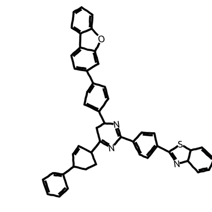 C1=CC2N=C(c3ccc(C4=NC(c5ccc(-c6ccc7c(c6)oc6ccccc67)cc5)CC(C5C=CC(c6ccccc6)CC5)=N4)cc3)SC2C=C1